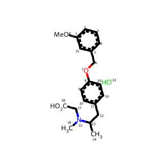 COc1cccc(COc2ccc(CC(C)N(C)CC(=O)O)cc2)c1.Cl